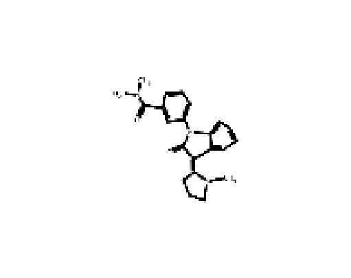 CN(C)C(=O)c1cccc(N2C(=O)/C(=C3\CCCN3C)c3ccccc32)c1